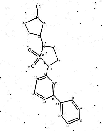 N#CN1CCC(N2CCN(c3cccc(-c4ccccc4)c3)S2(=O)=O)C1